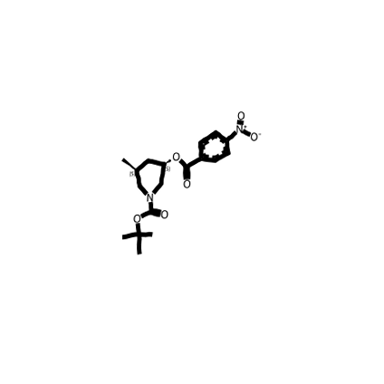 C[C@H]1C[C@H](OC(=O)c2ccc([N+](=O)[O-])cc2)CN(C(=O)OC(C)(C)C)C1